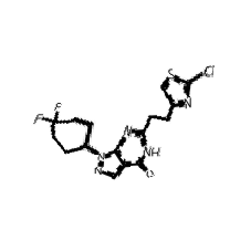 O=c1[nH]c(CCc2csc(Cl)n2)nc2c1cnn2C1CCC(F)(F)CC1